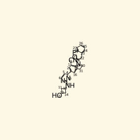 N#Cc1cc(-c2ccnc(NC3CC(O)C3)n2)cc2c1N(C(=O)Cc1ccccc1F)CC2